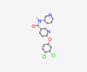 CN(C(=O)c1ccc(Oc2ccc(Cl)c(Cl)c2)nc1)c1cccnc1